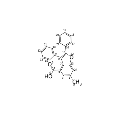 Cc1cc(C(=O)O)c2c(-c3ccccc3)c(-c3ccccc3)oc2c1